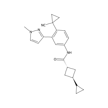 Cn1ccc(-c2cc(NC(=O)[C@H]3C[C@H](C4CC4)C3)ccc2C2(C#N)CC2)n1